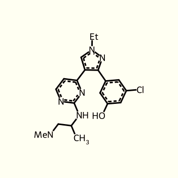 CCn1cc(-c2ccnc(NC(C)CNC)n2)c(-c2cc(O)cc(Cl)c2)n1